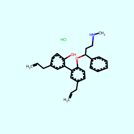 C=CCc1ccc(O)c(-c2cc(CC=C)ccc2OC(CCNC)c2ccccc2)c1.Cl